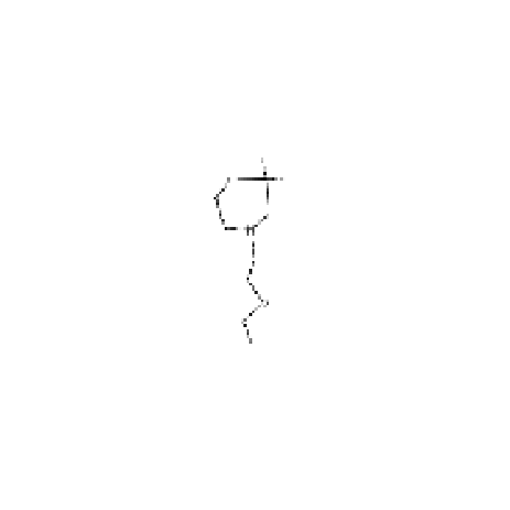 CCOCCN1CCOC(C)(C)C1